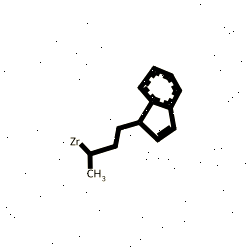 C[CH]([Zr])CCC1C=Cc2ccccc21